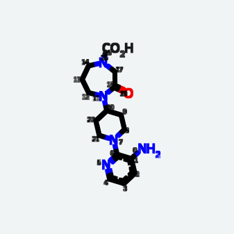 Nc1cccnc1N1CCC(N2CCCN(C(=O)O)CC2=O)CC1